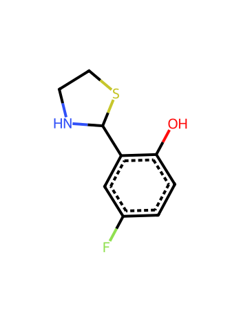 Oc1ccc(F)cc1C1NCCS1